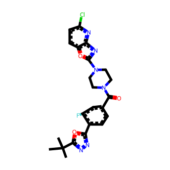 CC(C)(C)c1nnc(-c2ccc(C(=O)N3CCN(c4nc5nc(Cl)ccc5o4)CC3)cc2F)o1